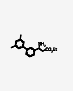 CCOC(=O)C[C@H](N)c1cccc(-c2cc(C)cc(C)c2)c1